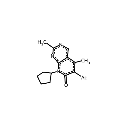 CC(=O)c1c(C)c2cnc(C)nc2n(C2CCCC2)c1=O